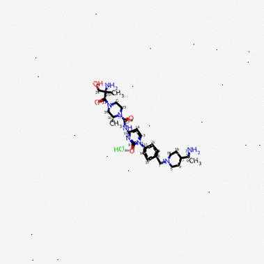 CC(N)C1CCN(Cc2ccc(-n3ccc(NC(=O)N4CCN(C(=O)C(C)(N)CO)C[C@H]4C)nc3=O)cc2)CC1.Cl